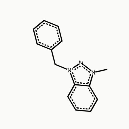 Cn1n[n+](Cc2ccccc2)c2ccccc21